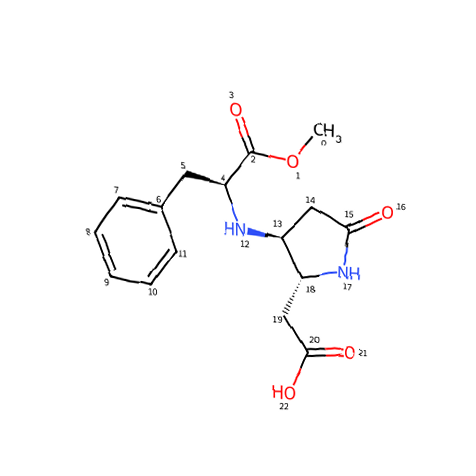 COC(=O)[C@H](Cc1ccccc1)N[C@H]1CC(=O)N[C@@H]1CC(=O)O